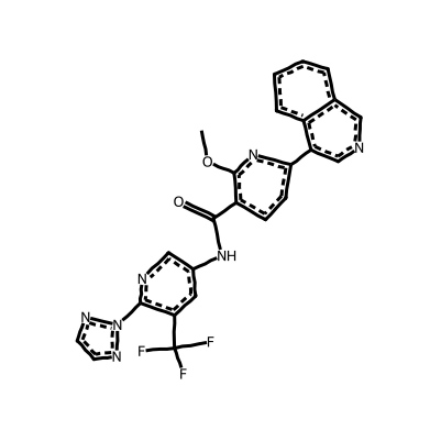 COc1nc(-c2cncc3ccccc23)ccc1C(=O)Nc1cnc(-n2nccn2)c(C(F)(F)F)c1